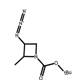 CC1C(N=[N+]=[N-])CN1C(=O)OC(C)(C)C